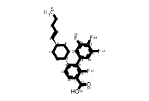 CCC/C=C/[C@H]1CC[C@H](c2ccc(C(=O)O)c(F)c2-c2cc(F)c(F)c(F)c2)CC1